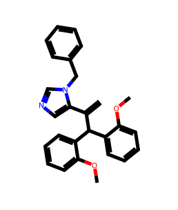 C=C(c1cncn1Cc1ccccc1)C(c1ccccc1OC)c1ccccc1OC